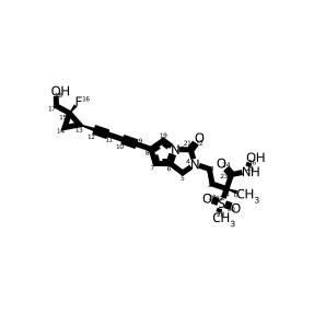 C[C@@](CCN1Cc2cc(C#CC#C[C@H]3C[C@]3(F)CO)cn2C1=O)(C(=O)NO)S(C)(=O)=O